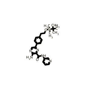 CC(C)(C)[Si](C)(C)OCCc1ccc(-c2cnc(N)c(C(=O)Nc3cccnc3)n2)cc1